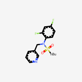 CCCCS(=O)(=O)N(Cc1cccnc1)c1ccc(F)cc1F